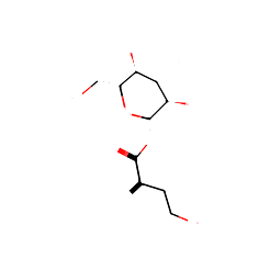 C=C(CCO)C(=O)O[C@@H]1O[C@H](CO)[C@@H](O)[C@H](O)[C@H]1O